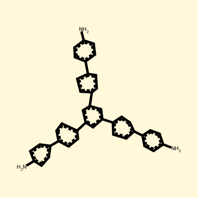 Nc1ccc(-c2ccc(-c3cc(-c4ccc(-c5ccc(N)cc5)cc4)cc(-c4ccc(-c5ccc(N)cc5)cc4)c3)cc2)cc1